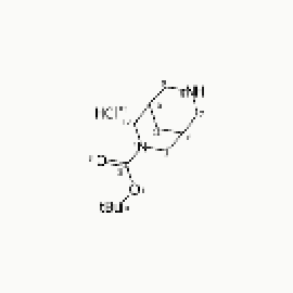 CC(C)(C)OC(=O)N1CC2CNCC(C2)C1.Cl